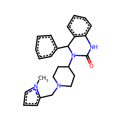 Cn1cccc1CN1CCC(N2C(=O)Nc3ccccc3C2c2ccccc2)CC1